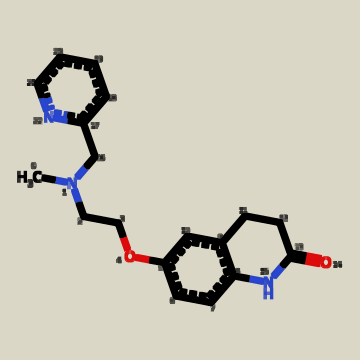 CN(CCOc1ccc2c(c1)CCC(=O)N2)Cc1ccccn1